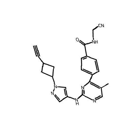 C#CC1CC(n2cc(Nc3ncc(C)c(-c4ccc(C(=O)NCC#N)cc4)n3)cn2)C1